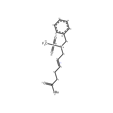 CCCCC(=O)CC/C=C/CN(Cc1ccccc1)S(=O)(=O)C(F)(F)F